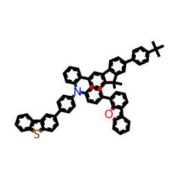 CC(C)(C)c1ccc(-c2ccc3c(c2)C(C)(C)c2ccc(-c4ccccc4N(c4ccc(-c5ccc6sc7ccccc7c6c5)cc4)c4ccc(-c5cccc6c5oc5ccccc56)cc4)cc2-3)cc1